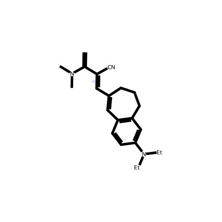 C=C(/C(C#N)=C/C1=Cc2ccc(N(CC)CC)cc2CCC1)N(C)C